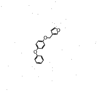 c1ccc(Oc2ccc(OCc3ccoc3)cc2)cc1